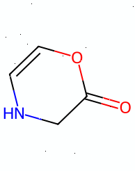 O=C1CNC=CO1